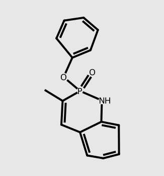 CC1=Cc2ccccc2NP1(=O)Oc1ccccc1